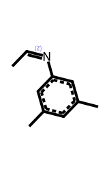 C/C=N\c1cc(C)cc(C)c1